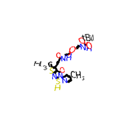 Cc1ccnc(-n2c(S)nc3sc(C)c(C#CC(=O)NCCOCCNC(=O)OC(C)(C)C)c3c2=O)c1